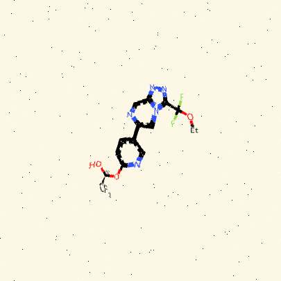 CCOC(F)(F)c1nnc2cnc(-c3ccc(O[C@H](O)C(F)(F)F)nc3)cn12